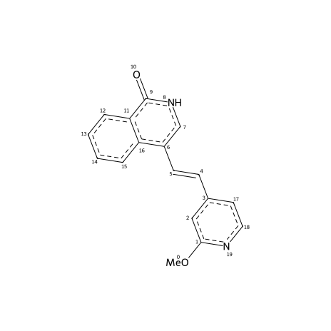 COc1cc(C=Cc2c[nH]c(=O)c3ccccc23)ccn1